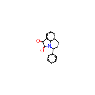 O=C1C(=O)N2c3c(cccc31)CCC2c1ccccc1